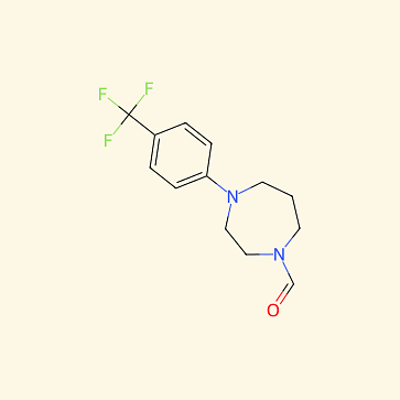 O=CN1CCCN(c2ccc(C(F)(F)F)cc2)CC1